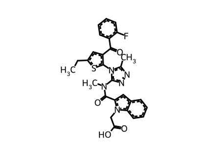 CCc1cc(C(=O)c2ccccc2F)c(-n2c(C)nnc2N(C)C(=O)c2cc3ccccc3n2CC(=O)O)s1